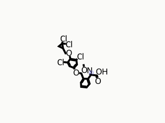 CO/N=C(/C(=O)O)c1ccccc1COc1cc(Cl)c(OCC2CC2(Cl)Cl)c(Cl)c1